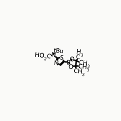 CC(C)(C)N(C(=O)O)c1ncc(B2OC(C)(C)C(C)(C)O2)s1